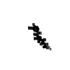 CC(NC(=O)C(=O)c1cc(C(=O)Nc2ccc(F)c(C#N)c2)c(F)n1C)C(F)(F)F